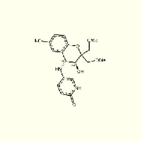 COCC1(COC)Oc2ccc(C#N)cc2[C@@H](Nc2ccc(=O)[nH]c2)[C@@H]1O